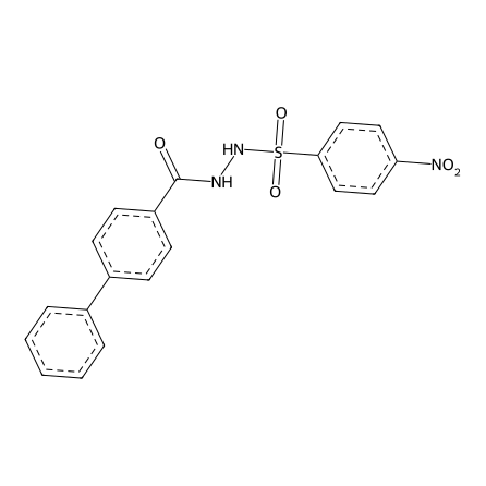 O=C(NNS(=O)(=O)c1ccc([N+](=O)[O-])cc1)c1ccc(-c2ccccc2)cc1